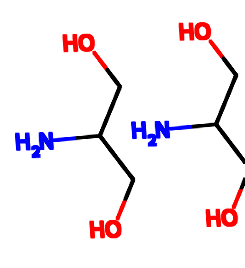 NC(CO)CO.NC(CO)CO